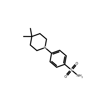 CC1(C)CCN(c2ccc(S(N)(=O)=O)cc2)CC1